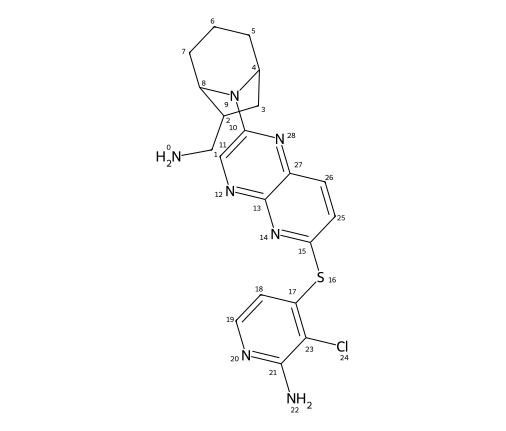 NCC1CC2CCCC1N2c1cnc2nc(Sc3ccnc(N)c3Cl)ccc2n1